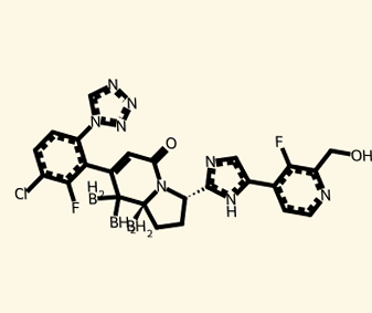 BC1(B)C(c2c(-n3cnnn3)ccc(Cl)c2F)=CC(=O)N2[C@H](c3ncc(-c4ccnc(CO)c4F)[nH]3)CC[C@@]21B